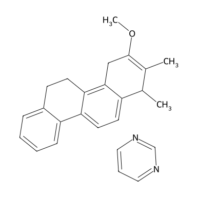 COC1=C(C)C(C)c2ccc3c(c2C1)CCc1ccccc1-3.c1cncnc1